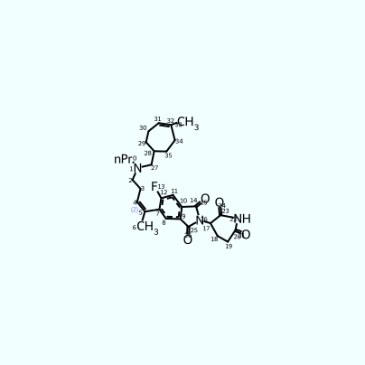 CCCN(CC/C=C(/C)c1cc2c(cc1F)C(=O)N(C1CCC(=O)NC1=O)C2=O)CC1CCC=C(C)CC1